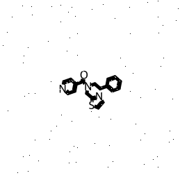 O=C(c1ccncc1)N(CCc1ccccc1)Cc1nccs1